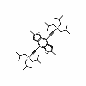 Cc1cc2c(C#C[Si](CC(C)C)(CC(C)C)CC(C)C)c3oc(C)cc3c(C#C[Si](CC(C)C)(CC(C)C)CC(C)C)c2o1